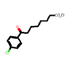 CCOC(=O)CCCCCCC(=O)c1ccc(Cl)cc1